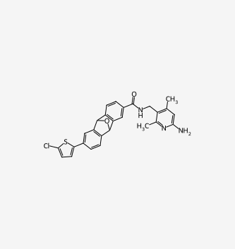 Cc1cc(N)nc(C)c1CNC(=O)c1ccc2c(c1)C1OC2c2cc(-c3ccc(Cl)s3)ccc21